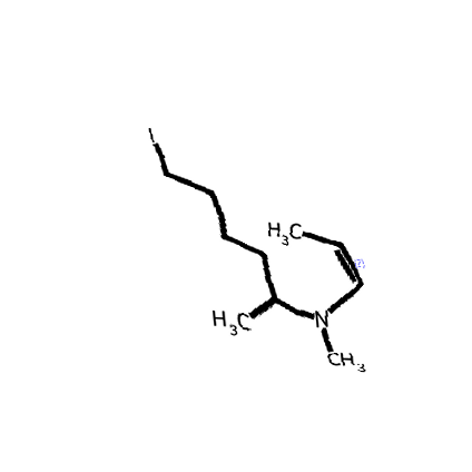 C/C=C\N(C)C(C)CCCCI